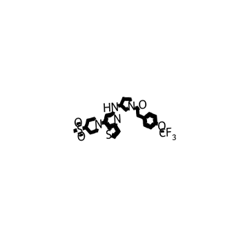 CS(=O)(=O)C1CCN(c2cc(NC3CCN(C(=O)Cc4ccc(OC(F)(F)F)cc4)C3)nc3ccsc23)CC1